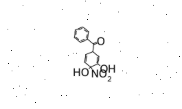 O=C(c1ccccc1)C1C=CC(O)([N+](=O)[O-])C(O)=C1